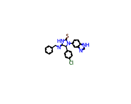 S=C1N/C(=N\Cc2ccccc2)C(c2ccc(Cl)cc2)N1c1ccc2[nH]cnc2c1